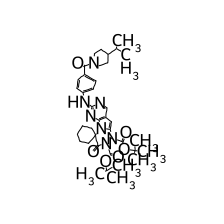 CC(C)C1CCN(C(=O)c2ccc(Nc3ncc4cc5n(c4n3)C3(CCCCC3)C(=O)N(C(=O)OC(C)(C)C)N5C(=O)OC(C)(C)C)cc2)CC1